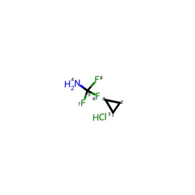 C1CC1.Cl.NC(F)(F)F